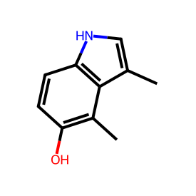 Cc1c[nH]c2ccc(O)c(C)c12